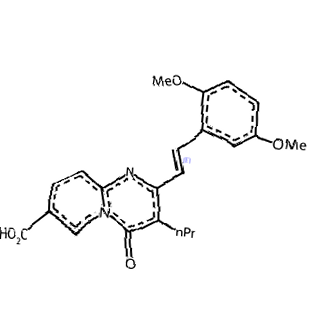 CCCc1c(/C=C/c2cc(OC)ccc2OC)nc2ccc(C(=O)O)cn2c1=O